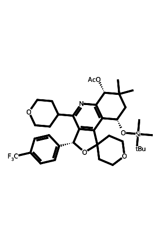 CC(=O)O[C@H]1c2nc(C3CCOCC3)c3c(c2[C@@H](O[Si](C)(C)C(C)(C)C)CC1(C)C)C1(CCOCC1)O[C@@H]3c1ccc(C(F)(F)F)cc1